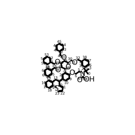 CC(C)(C)N(CCOc1ccc(C(Cc2ccccc2)c2cccs2)cc1[C@@H]1O[C@H](COCc2ccccc2)[C@@H](OCc2ccccc2)[C@H](OCc2ccccc2)[C@H]1OCc1ccccc1)C(=O)O